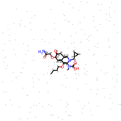 CCCCOC1=C(N(C)C(=O)O)N(CC2CC2)C=C2CC(=O)C(OCC(N)=O)C=C21